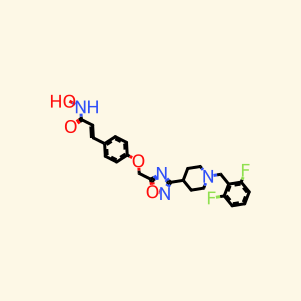 O=C(C=Cc1ccc(OCc2nc(C3CCN(Cc4c(F)cccc4F)CC3)no2)cc1)NO